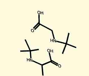 CC(C)(C)NCC(=O)O.CC(NC(C)(C)C)C(=O)O